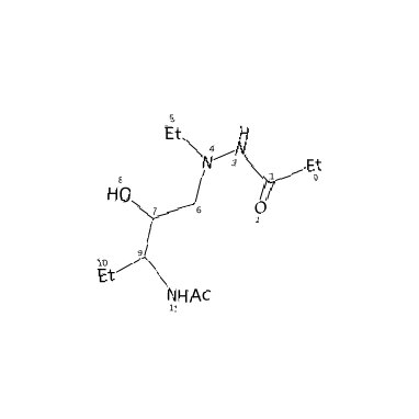 CCC(=O)NN(CC)CC(O)C(CC)NC(C)=O